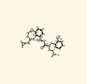 CN(C)CCN(Cc1ccccc1C(F)(F)F)C(=O)CNc1cccc2c1CN(CC1CC1)CCO2